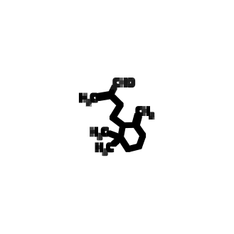 C=C(C=O)CCC1C(=C)CCCC1(C)C